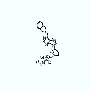 NS(=O)(=O)OC[C@H]1CC[C@H](n2cnc3c(CC4Cc5ccccc5C4)ncnc32)O1